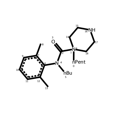 CCCCC[N+]1(C(=O)N(CCCC)c2c(C)cccc2C)CCNCC1